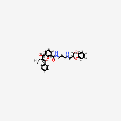 Cc1c(-c2ccccc2)oc2c(C(=O)NCCCNCC3COc4ccccc4O3)cccc2c1=O